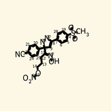 CS(=O)(=O)c1ccc(C2=CC(C(CCCO[N+](=O)[O-])=NO)(c3ccc(C#N)cc3)N=N2)cc1